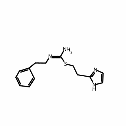 NC(=NCCc1ccccc1)SCCc1ncc[nH]1